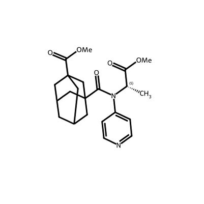 COC(=O)[C@H](C)N(C(=O)C12CC3CC(CC(C(=O)OC)(C3)C1)C2)c1ccncc1